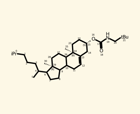 CC(C)CCCC(C)C1CCC2C3CC=C4C[C@@H](OC(=O)NCC(C)(C)C)CC[C@]4(C)C3CC[C@]12C